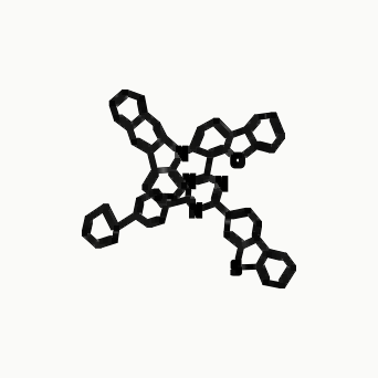 c1ccc(-c2ccc(-c3nc(-c4ccc5c(c4)sc4ccccc45)nc(-c4c(-n5c6ccccc6c6cc7ccccc7cc65)ccc5c4oc4ccccc45)n3)cc2)cc1